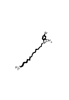 CCCCCCCCCCCCCCCNc1ccc(Br)cc1C